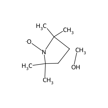 CC1(C)CCC(C)(C)N1[O].CO